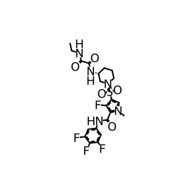 CCNC(=O)C(=O)N[C@@H]1CCCN(S(=O)(=O)c2cn(C)c(C(=O)Nc3cc(F)c(F)c(F)c3)c2F)C1